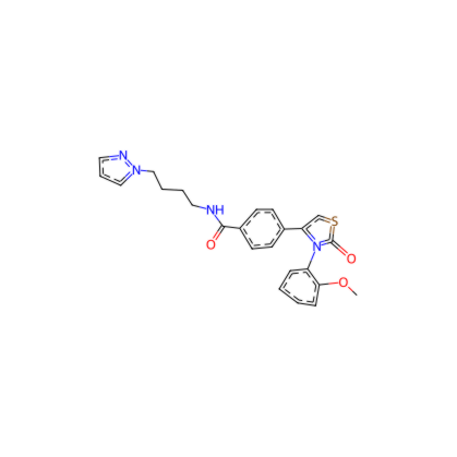 COc1ccccc1-n1c(-c2ccc(C(=O)NCCCCn3cccn3)cc2)csc1=O